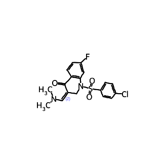 CN(C)/C=C1/CN(S(=O)(=O)c2ccc(Cl)cc2)c2cc(F)ccc2C1=O